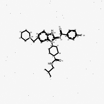 CC(C)CNC(=O)[C@H]1CC[C@@H](n2/c(=N/C(=O)c3ccc(F)cc3)[nH]c3ccc(CN4CCCCC4)cc32)CC1